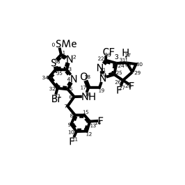 CSc1nc2nc(C(Cc3cc(F)cc(F)c3)NC(=O)Cn3nc(C(F)(F)F)c4c3C(F)(F)C3C[C@H]43)c(Br)cc2s1